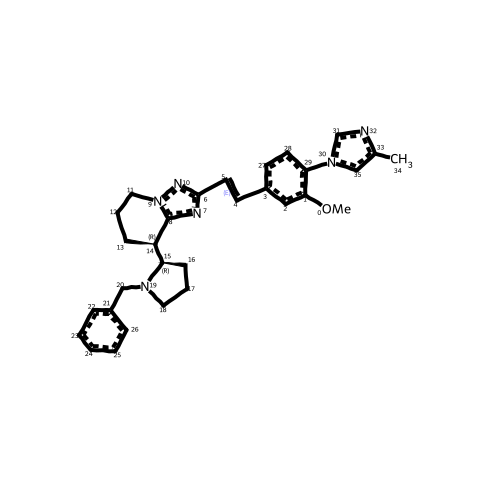 COc1cc(/C=C/c2nc3n(n2)CCC[C@@H]3[C@H]2CCCN2Cc2ccccc2)ccc1-n1cnc(C)c1